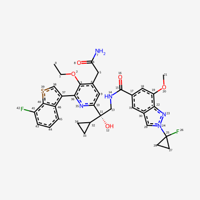 CCOc1c(CC(N)=O)cc([C@@](O)(CNC(=O)c2cc(OC)c3nn(C4(F)CC4)cc3c2)C2CC2)nc1-c1csc2c(F)cccc12